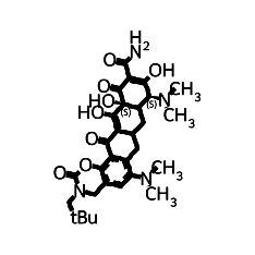 CN(C)c1cc2c(c3c1CC1CC4[C@H](N(C)C)C(O)=C(C(N)=O)C(=O)[C@@]4(O)C(O)=C1C3=O)OC(=O)N(CC(C)(C)C)C2